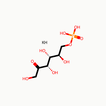 O=C(CO)[C@@H](O)[C@H](O)[C@H](O)COP(=O)(O)O.[KH]